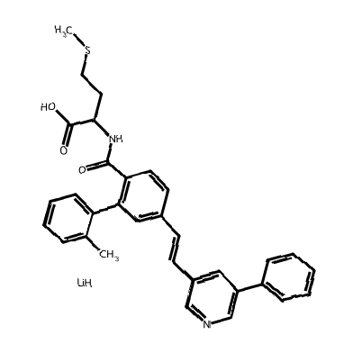 CSCCC(NC(=O)c1ccc(C=Cc2cncc(-c3ccccc3)c2)cc1-c1ccccc1C)C(=O)O.[LiH]